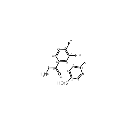 Cc1ccc(S(=O)(=O)O)cc1.NCC(=O)c1ccc(F)c(F)c1